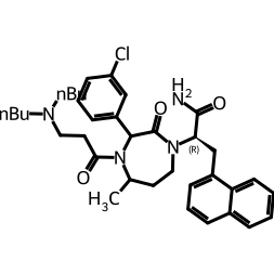 CCCCN(CCCC)CCC(=O)N1C(C)CCN([C@H](Cc2cccc3ccccc23)C(N)=O)C(=O)C1c1cccc(Cl)c1